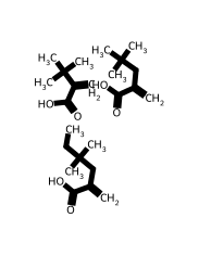 C=C(C(=O)O)C(C)(C)C.C=C(CC(C)(C)C)C(=O)O.C=C(CC(C)(C)CC)C(=O)O